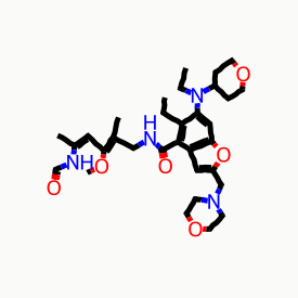 CCc1c(N(CC)C2CCOCC2)cc2oc(CN3CCOCC3)cc2c1C(=O)NC/C(C)=C(/C=C(/C)NC=O)OC